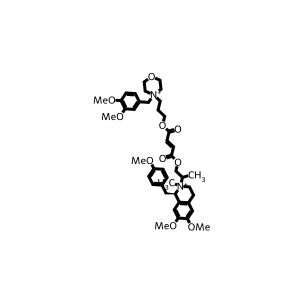 COc1ccc(C[C@@H]2c3cc(OC)c(OC)cc3CC[N+]2(C)C(C)COC(=O)/C=C/C(=O)OCCC[N+]2(Cc3ccc(OC)c(OC)c3)CCOCC2)cc1